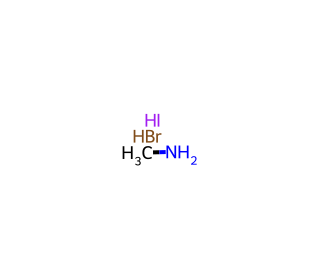 Br.CN.I